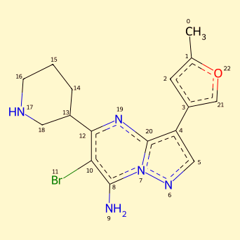 Cc1cc(-c2cnn3c(N)c(Br)c(C4CCCNC4)nc23)co1